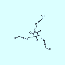 O=c1n(CCOC#CCS)c(=O)n(CCOC#CCS)c(=O)n1CCOC#CCS